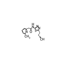 C#CCCc1nnc(NC(=O)Cc2cccc(C)n2)s1